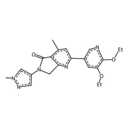 CCOc1cc(-c2cc(C)c3c(n2)CN(c2cnn(C)c2)C3=O)cnc1OCC